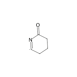 O=C1CCC[C]=N1